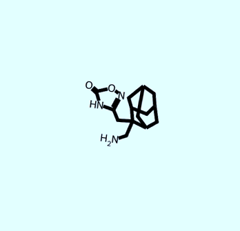 NCC1(Cc2noc(=O)[nH]2)C2CC3CC(C2)CC1C3